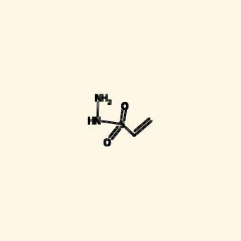 C=CS(=O)(=O)NN